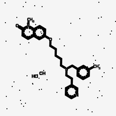 Cc1cccc(CN(CCCCCOc2ccc3c(ccc(=O)n3C)c2)CCc2cccnc2)c1.Cl.Cl